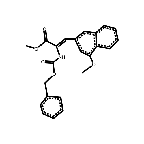 COC(=O)/C(=C/c1cc(OC)c2ccccc2c1)NC(=O)OCc1ccccc1